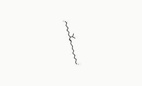 [CH2]CCCCCCCCCC=CC(CCCCCC[CH2])C(C)C